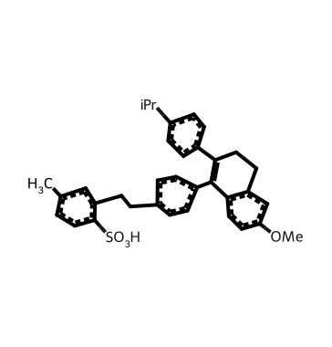 COc1ccc2c(c1)CCC(c1ccc(C(C)C)cc1)=C2c1ccc(CCc2cc(C)ccc2S(=O)(=O)O)cc1